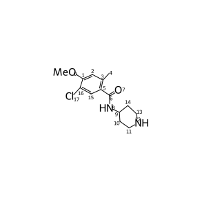 COc1cc(C)c(C(=O)NC2CCNCC2)cc1Cl